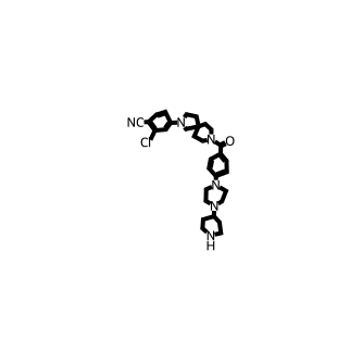 N#Cc1ccc(N2CCC3(CCN(C(=O)c4ccc(N5CCN(C6CCNCC6)CC5)cc4)CC3)C2)cc1Cl